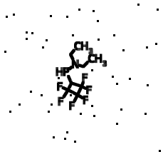 CCN(CC)PC1C(F)(F)C(F)(F)C1(F)F